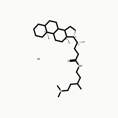 CC(CCNC(=O)CC[C@@H](C)[C@H]1CCC2C3CCC4CCCC[C@]4(C)C3CC[C@@]21C)CCN(C)C.I